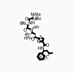 CCCO[C@H](C[C@H](C(C)C)N(CCC)C(=O)[C@@H](NC(=O)[C@H](NC)[C@@H](C)CC)[C@@H](C)CC)c1nc(C(=O)NC(C[C@H](C)C(=O)O)c2ccccc2)cs1